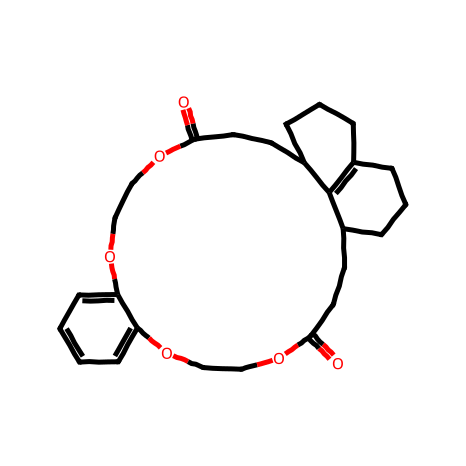 O=C1CCC2CCCC3=C2C(CCC3)CCC(=O)OCCOc2ccccc2OCCO1